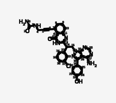 NC(=O)NCC#Cc1cccc2nc(C(Cn3nc(-c4ccc(O)cc4)c4c(N)ncnc43)c3cccc(Cl)c3)[nH]c(=O)c12